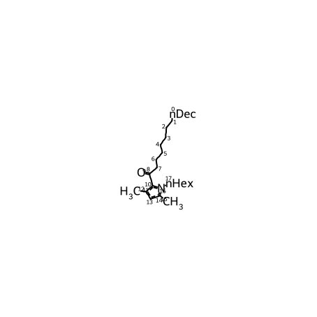 CCCCCCCCCCCCCCCCCC(=O)c1c(C)cc(C)n1CCCCCC